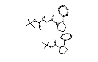 CC(C)(C)OC(=O)N1CCCN1c1ccccn1.CC(C)(C)OC(=O)NCC(=O)N1CCCN1c1ccccn1